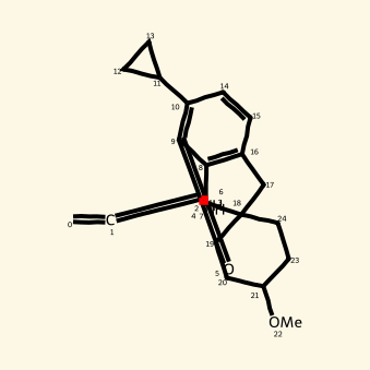 C=C=C1NC(=O)C2(N1)c1cc(C3CC3)ccc1CC21CCC(OC)CC1